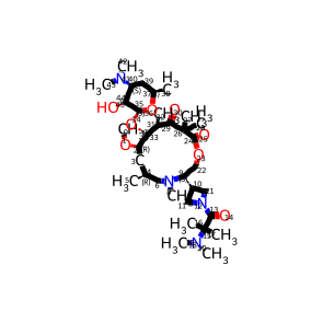 CO[C@@H]1C[C@@H](C)CN(C)[C@@H](C2CN(C(=O)C(C)(C)N(C)C)C2)COC(=O)C(C)(C)C(=O)[C@H](C)[C@H]1O[C@@H]1O[C@H](C)C[C@H](N(C)C)[C@H]1O